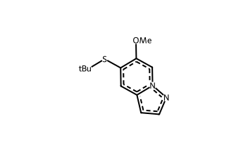 COc1cn2nccc2cc1SC(C)(C)C